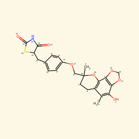 Cc1c(O)c2c(c3c1CCC(C)(COc1ccc(CC4SC(=O)NC4=O)cc1)O3)OCO2